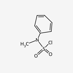 CN(c1ccccc1)S(=O)(=O)Cl